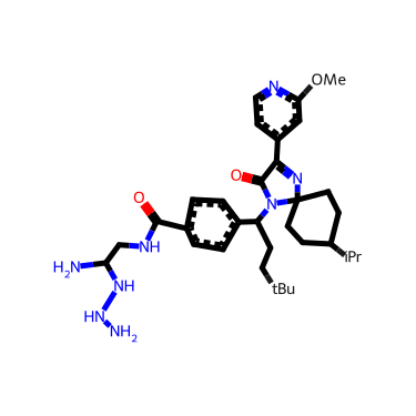 COc1cc(C2=NC3(CCC(C(C)C)CC3)N(C(CCC(C)(C)C)c3ccc(C(=O)NCC(N)NNN)cc3)C2=O)ccn1